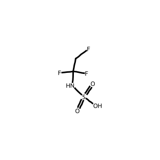 O=S(=O)(O)NC(F)(F)CF